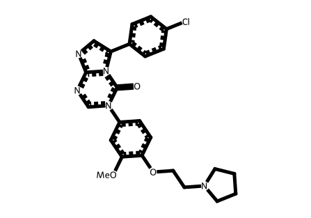 COc1cc(-n2cnc3ncc(-c4ccc(Cl)cc4)n3c2=O)ccc1OCCN1CCCC1